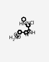 NS(=O)(=O)c1cccc(-c2cnc3[nH]cc(-c4cc(Cl)nc(NC5CCCCC5)c4)c3c2)c1